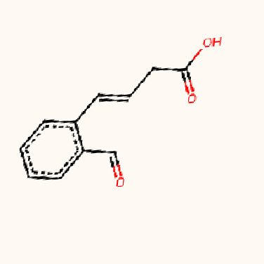 O=Cc1ccccc1C=CCC(=O)O